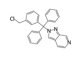 ClCc1cccc(C(c2ccccc2)(c2ccccc2)n2cc3ccncc3n2)c1